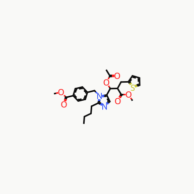 CCCCc1ncc(C(OC(C)=O)C(Cc2cccs2)C(=O)OC)n1Cc1ccc(C(=O)OC)cc1